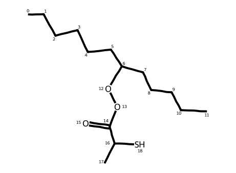 CCCCCCC(CCCCC)OOC(=O)C(C)S